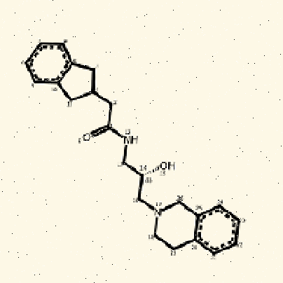 O=C(CC1Cc2ccccc2C1)NC[C@H](O)CN1CCc2ccccc2C1